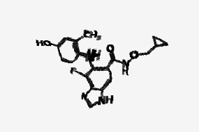 Cc1cc(O)ccc1Nc1c(C(=O)NOCC2CC2)cc2[nH]cnc2c1F